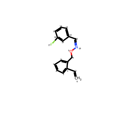 C=Cc1ccccc1CO/N=[C]\c1cccc(F)c1